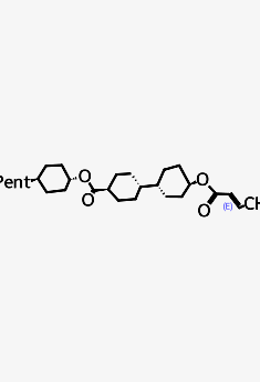 C/C=C/C(=O)O[C@H]1CC[C@H]([C@H]2CC[C@H](C(=O)O[C@H]3CC[C@H](CCCCC)CC3)CC2)CC1